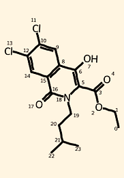 CCOC(=O)c1c(O)c2cc(Cl)c(Cl)cc2c(=O)n1CCC(C)C